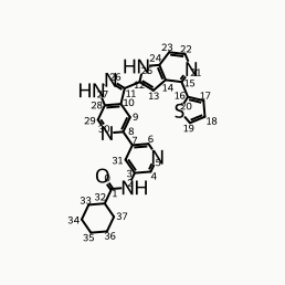 O=C(Nc1cncc(-c2cc3c(-c4cc5c(-c6cccs6)nccc5[nH]4)n[nH]c3cn2)c1)C1CCCCC1